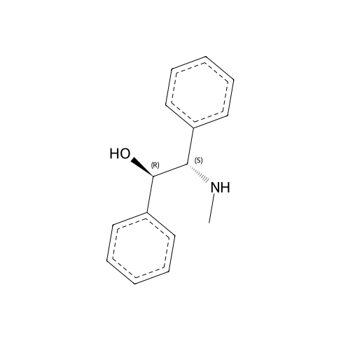 CN[C@@H](c1ccccc1)[C@H](O)c1ccccc1